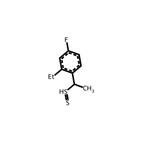 CCc1cc(F)ccc1C(C)[SH]=S